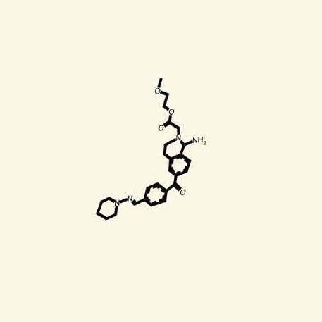 COCCOC(=O)CN1CCc2cc(C(=O)c3ccc(C=NN4CCCCC4)cc3)ccc2C1N